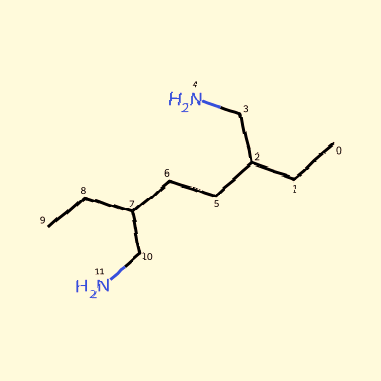 CCC(CN)CCC(CC)CN